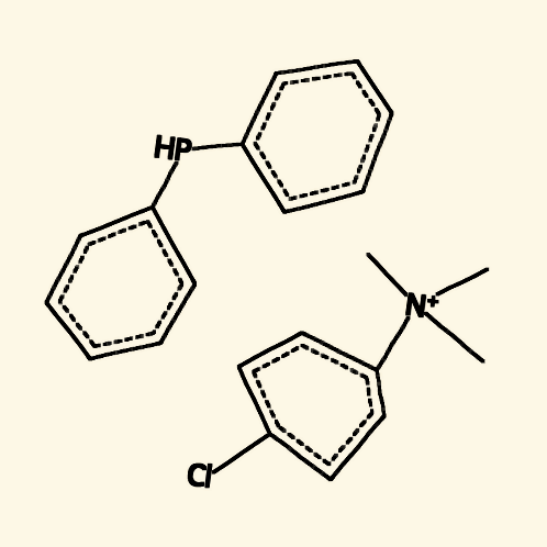 C[N+](C)(C)c1ccc(Cl)cc1.c1ccc(Pc2ccccc2)cc1